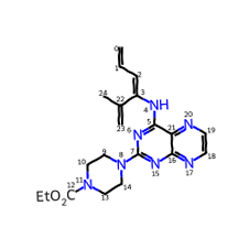 C=C/C=C(/Nc1nc(N2CCN(C(=O)OCC)CC2)nc2nccnc12)C(=C)C